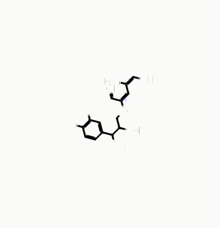 C=C/C(=C\C(O)=C/C)OCC(C)C(C)c1ccc(O)c(Cl)c1